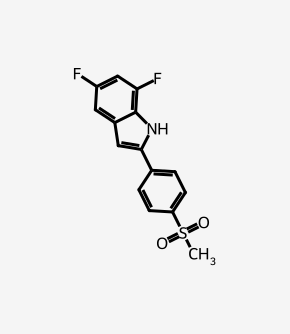 CS(=O)(=O)c1ccc(-c2cc3cc(F)cc(F)c3[nH]2)cc1